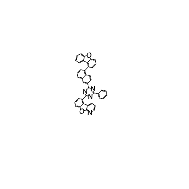 c1ccc(-c2nc(-c3ccc4c(-c5cccc6oc7ccccc7c56)cccc4c3)nc(-c3cccc4oc5ncccc5c34)n2)cc1